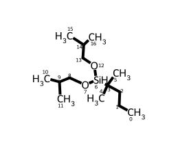 CCCC(C)(C)[SiH](OCC(C)C)OCC(C)C